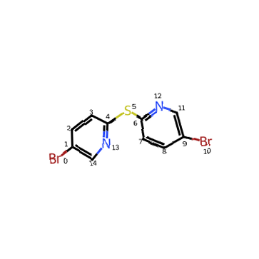 Brc1ccc(Sc2ccc(Br)cn2)nc1